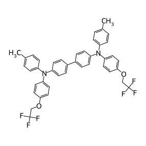 Cc1ccc(N(c2ccc(OCC(F)(F)F)cc2)c2ccc(-c3ccc(N(c4ccc(C)cc4)c4ccc(OCC(F)(F)F)cc4)cc3)cc2)cc1